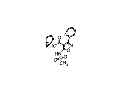 CS(=O)(=O)Nc1onc(-c2ccccn2)c1C(=O)O.c1cc2cc-2c1